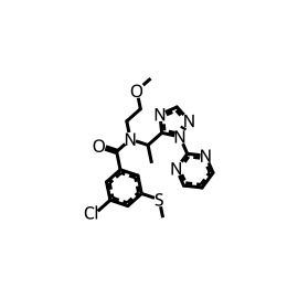 COCCN(C(=O)c1cc(Cl)cc(SC)c1)C(C)c1ncnn1-c1ncccn1